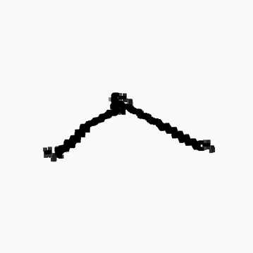 C[CH]c1cc(CCCCCCCCCCCCCCCCCCC)nc(CCCCCCCCCCCCCCCCCCC)c1